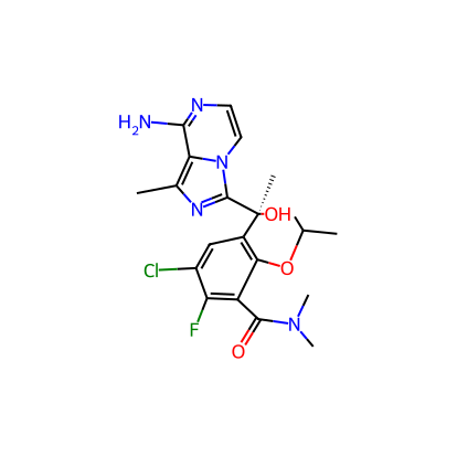 Cc1nc([C@@](C)(O)c2cc(Cl)c(F)c(C(=O)N(C)C)c2OC(C)C)n2ccnc(N)c12